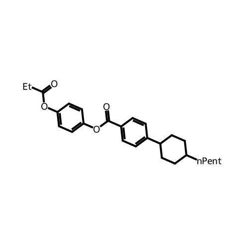 CCCCCC1CCC(c2ccc(C(=O)Oc3ccc(OC(=O)CC)cc3)cc2)CC1